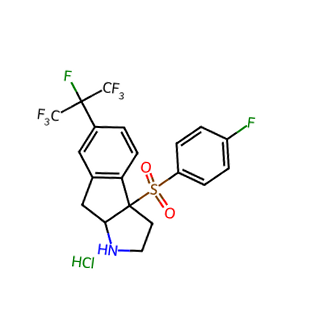 Cl.O=S(=O)(c1ccc(F)cc1)C12CCNC1Cc1cc(C(F)(C(F)(F)F)C(F)(F)F)ccc12